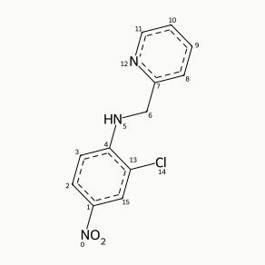 O=[N+]([O-])c1ccc(NCc2ccccn2)c(Cl)c1